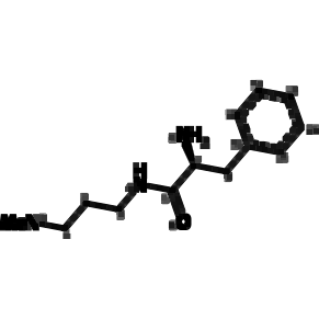 CNCCCNC(=O)[C@@H](N)Cc1ccccc1